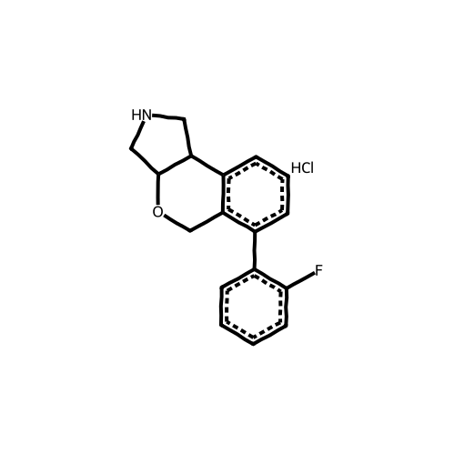 Cl.Fc1ccccc1-c1cccc2c1COC1CNCC21